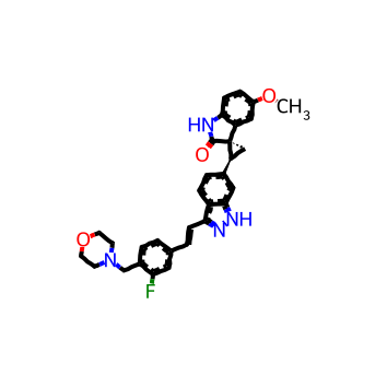 COc1ccc2c(c1)[C@]1(C[C@H]1c1ccc3c(C=Cc4ccc(CN5CCOCC5)c(F)c4)n[nH]c3c1)C(=O)N2